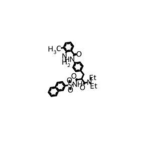 CCN(CC)C(=O)C(Cc1ccc(NC(=O)c2cccc(C)c2N)cc1)C(=O)NS(=O)(=O)c1ccc2ccccc2c1